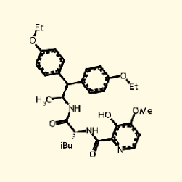 CCOc1ccc(C(c2ccc(OCC)cc2)[C@H](C)NC(=O)[C@@H](NC(=O)c2nccc(OC)c2O)[C@@H](C)CC)cc1